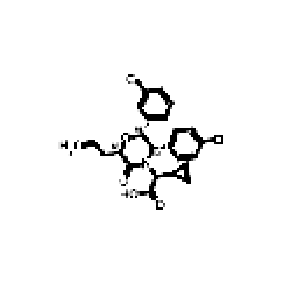 C=CC[C@H]1O[C@H](c2cccc(Cl)c2)[C@H](c2ccc(Cl)cc2)N(C(C(=O)O)C2CC2)C1=O